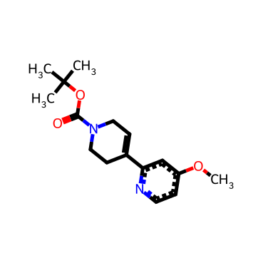 COc1ccnc(C2=CCN(C(=O)OC(C)(C)C)CC2)c1